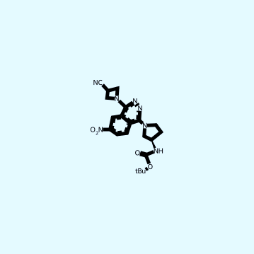 CC(C)(C)OC(=O)N[C@@H]1CCN(c2nnc(N3CC(C#N)C3)c3cc([N+](=O)[O-])ccc23)C1